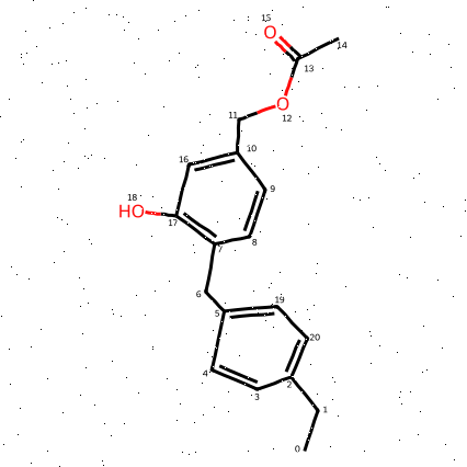 CCc1ccc(Cc2ccc(COC(C)=O)cc2O)cc1